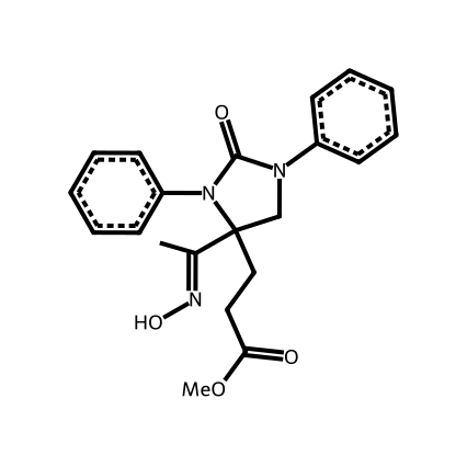 COC(=O)CCC1(C(C)=NO)CN(c2ccccc2)C(=O)N1c1ccccc1